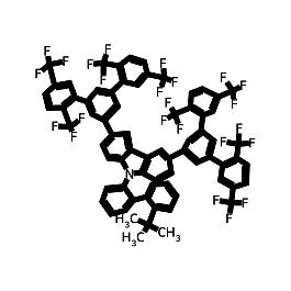 CC(C)(C)c1ccccc1-c1ccccc1-n1c2ccc(-c3cc(-c4cc(C(F)(F)F)ccc4C(F)(F)F)cc(-c4cc(C(F)(F)F)ccc4C(F)(F)F)c3)cc2c2cc(-c3cc(-c4cc(C(F)(F)F)ccc4C(F)(F)F)cc(-c4cc(C(F)(F)F)ccc4C(F)(F)F)c3)ccc21